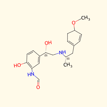 COC1C=CC(C[C@H](C)NC[C@@H](O)c2ccc(O)c(NC=O)c2)=CC1